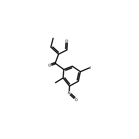 C/C=C(\C=O)C(=O)c1cc(I)cc(N=O)c1C